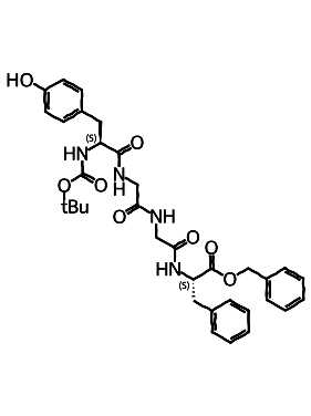 CC(C)(C)OC(=O)N[C@@H](Cc1ccc(O)cc1)C(=O)NCC(=O)NCC(=O)N[C@@H](Cc1ccccc1)C(=O)OCc1ccccc1